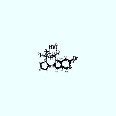 [2H]C([2H])([2H])N1CCC[C@@H]1c1cc2cnc(Br)cc2n1C(=O)OC(C)(C)C